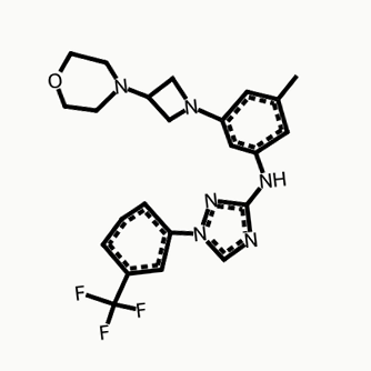 Cc1cc(Nc2ncn(-c3cccc(C(F)(F)F)c3)n2)cc(N2CC(N3CCOCC3)C2)c1